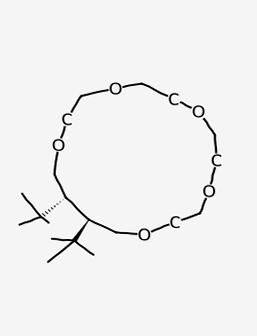 CC(C)(C)[C@@H]1COCCOCCOCCOCCOC[C@H]1C(C)(C)C